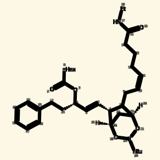 CCCCCCC(=O)O[C@H](/C=C/[C@@H]1C(C/C=C\CCCC(=O)NCC)[C@@H]2C[C@H]1OB(CCCC)O2)CCc1ccccc1